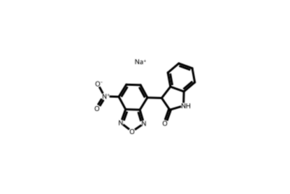 O=C1Nc2ccccc2C1c1ccc([N+](=O)[O-])c2nonc12.[Na+]